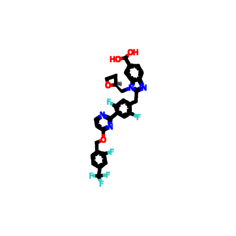 OC(O)c1ccc2nc(Cc3cc(F)c(-c4nccc(OCc5ccc(C(F)(F)F)cc5F)n4)cc3F)n(C[C@@H]3CCO3)c2c1